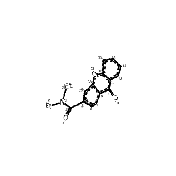 CCN(CC)C(=O)c1ccc2c(=O)c3ccccc3oc2c1